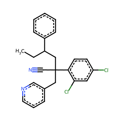 CCC(CC(C#N)(Cc1cccnc1)c1ccc(Cl)cc1Cl)c1ccccc1